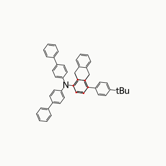 CC(C)(C)c1ccc(-c2ccc(N(c3ccc(-c4ccccc4)cc3)c3ccc(-c4ccccc4)cc3)c3c2C2c4ccccc4C3c3ccccc32)cc1